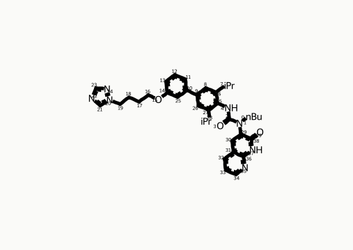 CCCCN(C(=O)Nc1c(C(C)C)cc(-c2cccc(OCCCCn3cncn3)c2)cc1C(C)C)c1cc2cccnc2[nH]c1=O